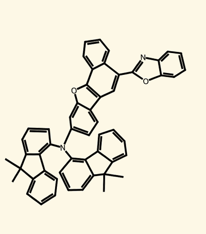 CC1(C)c2ccccc2-c2c(N(c3ccc4c(c3)oc3c5ccccc5c(-c5nc6ccccc6o5)cc43)c3cccc4c3-c3ccccc3C4(C)C)cccc21